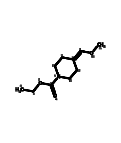 CCOC(=O)N1CCC(=COC)CC1